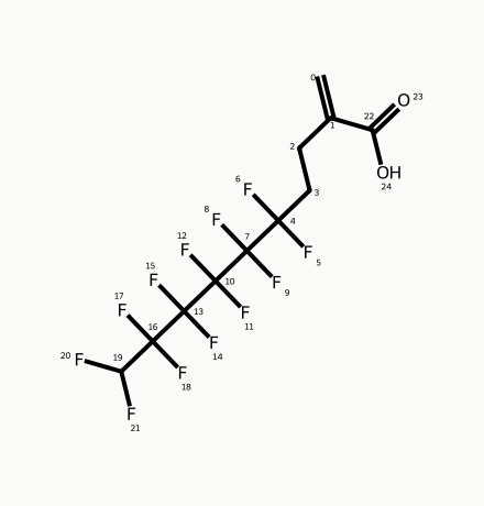 C=C(CCC(F)(F)C(F)(F)C(F)(F)C(F)(F)C(F)(F)C(F)F)C(=O)O